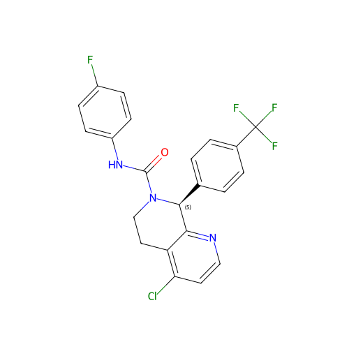 O=C(Nc1ccc(F)cc1)N1CCc2c(Cl)ccnc2[C@@H]1c1ccc(C(F)(F)F)cc1